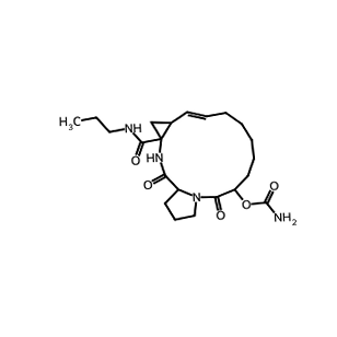 CCCNC(=O)C12CC1/C=C/CCCCCC(OC(N)=O)C(=O)N1CCCC1C(=O)N2